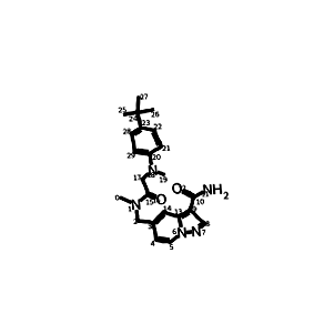 CN(Cc1ccn2ncc(C(N)=O)c2c1)C(=O)CN(C)c1ccc(C(C)(C)C)cc1